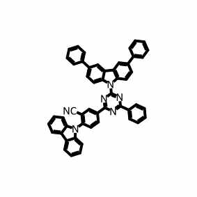 N#Cc1cc(-c2nc(-c3ccccc3)nc(-n3c4ccc(-c5ccccc5)cc4c4cc(-c5ccccc5)ccc43)n2)ccc1-n1c2ccccc2c2ccccc21